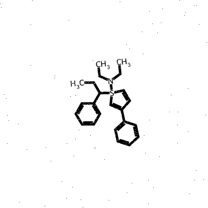 CCC(c1ccccc1)S1(N(CC)CC)C=CC(c2ccccc2)=C1